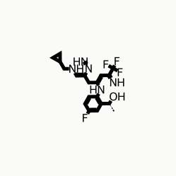 C[C@@H](O)c1cc(F)ccc1N/C(=C\C(=N)C(F)(F)F)C/C(=C/NCC1CC1)N=N